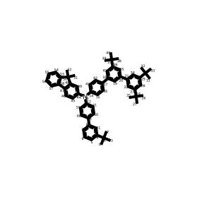 CC(C)(C)c1cccc(-c2ccc(N(c3ccc(-c4cc(-c5cc(C(C)(C)C)cc(C(C)(C)C)c5)cc(C(C)(C)C)c4)cc3)c3ccc4c(c3)C(C)(C)c3ccccc3-4)cc2)c1